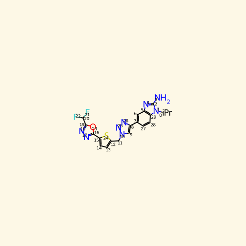 CC(C)n1c(N)nc2cc(-c3cn(Cc4ccc(-c5nnc(C(F)F)o5)s4)nn3)ccc21